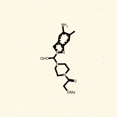 COCC(=O)N1CCN(C(C=O)n2cc3cc(N)c(C)cc3n2)CC1